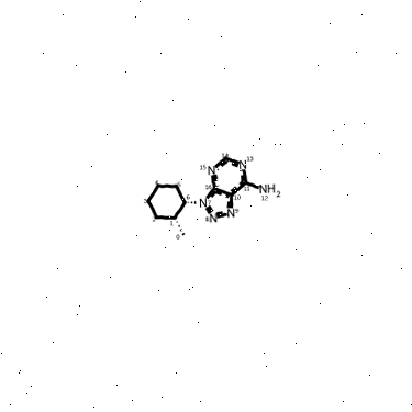 C[C@@H]1CCCC[C@@H]1n1nnc2c(N)ncnc21